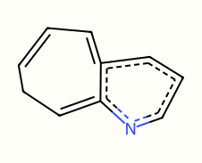 C1=CCC=c2ncccc2=C1